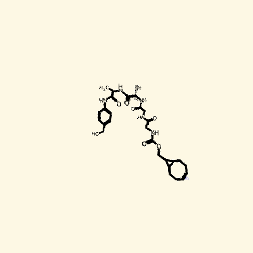 CC(NC(=O)[C@@H](NC(=O)CNC(=O)CNC(=O)OCC1C2CC/C=C\CCC21)C(C)C)C(=O)Nc1ccc(CO)cc1